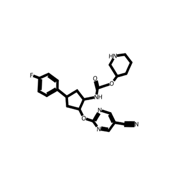 N#Cc1cnc(OC2CC(c3ccc(F)cc3)CC2NC(=O)OC2CCCNC2)nc1